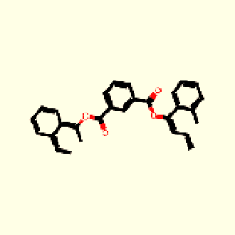 C=C/C=C(/OC(=O)c1cccc(C(=O)O/C(C)=c2\cccc\c2=C\C)c1)c1ccccc1C